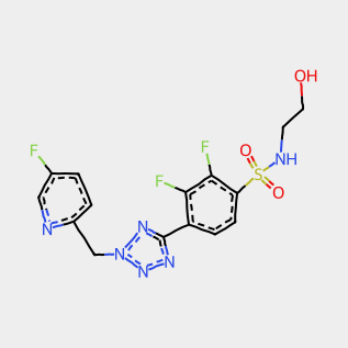 O=S(=O)(NCCO)c1ccc(-c2nnn(Cc3ccc(F)cn3)n2)c(F)c1F